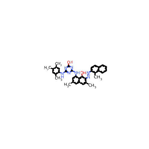 Cc1cc(Nc2nc(O)nc(Nc3cc(C)c(C)cc3C)n2)c2c(O)c(/N=N/c3ccc4ccccc4c3C)c(C)cc2c1